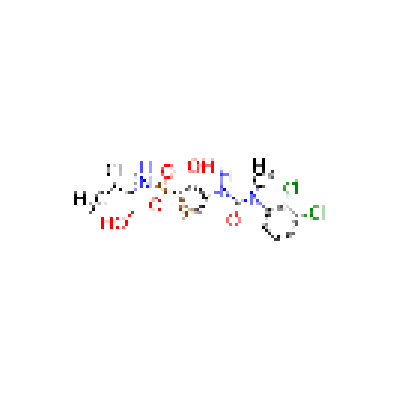 CC(C)[C@@H](CO)NS(=O)(=O)c1scc(NC(=O)N(C)c2cccc(Cl)c2Cl)c1O